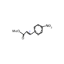 COC(=O)/C=C/c1ccc([N+](=O)[O-])cc1